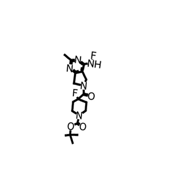 Cc1nc2c(c(NF)n1)CN(C(=O)C1(F)CCN(C(=O)OC(C)(C)C)CC1)C2